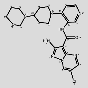 Nc1nn2cc(Cl)cnc2c1C(=O)Nc1cnccc1N1CCC(N2CCCOC2)CC1